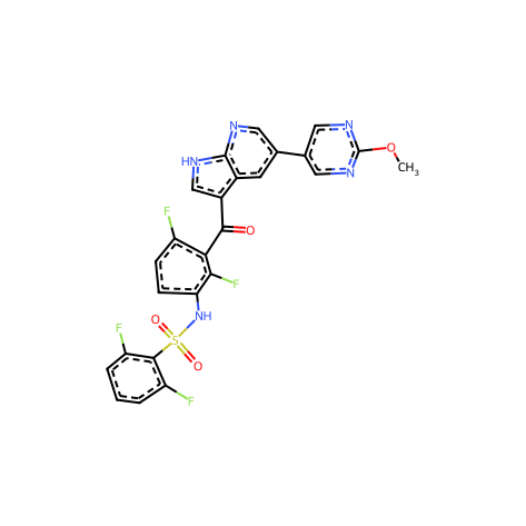 COc1ncc(-c2cnc3[nH]cc(C(=O)c4c(F)ccc(NS(=O)(=O)c5c(F)cccc5F)c4F)c3c2)cn1